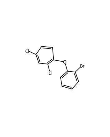 Clc1ccc(Oc2cc[c]cc2Br)c(Cl)c1